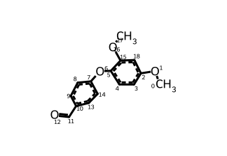 COc1ccc(Oc2ccc(C=O)cc2)c(OC)c1